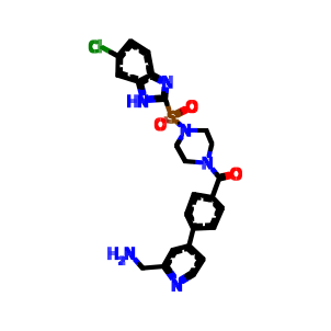 NCc1cc(-c2ccc(C(=O)N3CCN(S(=O)(=O)c4nc5ccc(Cl)cc5[nH]4)CC3)cc2)ccn1